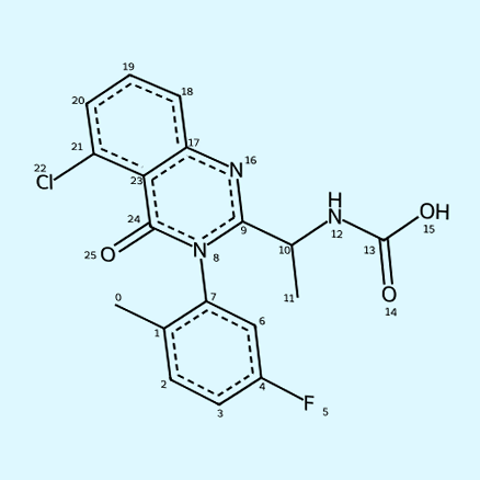 Cc1ccc(F)cc1-n1c(C(C)NC(=O)O)nc2cccc(Cl)c2c1=O